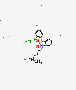 CN(C)CCCCN1c2ccccc2N(c2ccc(F)cc2F)S1(=O)=O.Cl